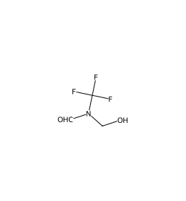 O=CN(CO)C(F)(F)F